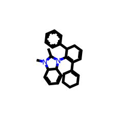 CC1N(C)C2C=CC=CC2N1C1=C(C2=CCCCC2)C=CCC1c1ccccc1